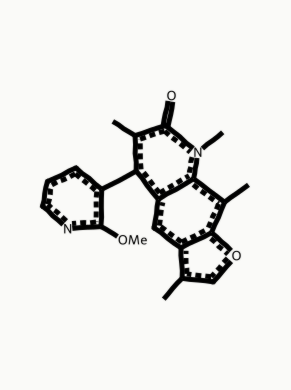 COc1ncccc1-c1c(C)c(=O)n(C)c2c(C)c3occ(C)c3cc12